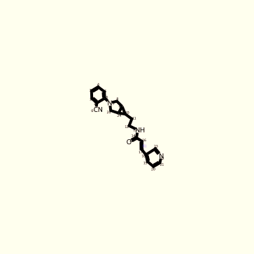 N#Cc1ccccc1N1CC2C(CCNC(=O)/C=C/c3cccnc3)C2C1